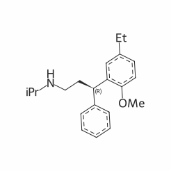 CCc1ccc(OC)c([C@H](CCNC(C)C)c2ccccc2)c1